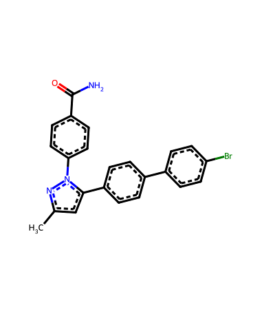 Cc1cc(-c2ccc(-c3ccc(Br)cc3)cc2)n(-c2ccc(C(N)=O)cc2)n1